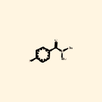 CCC(C)N(C(=O)c1ccc(F)cc1)C(C)CC